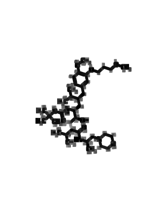 COCCCOc1cc(C[C@@H](C[C@H](NC(=O)OC(C)(C)C)[C@@H](O)C[C@H](C(=O)N[C@H](C)CN2CCOCC2)C(C)C)C(C)C)ccc1OC